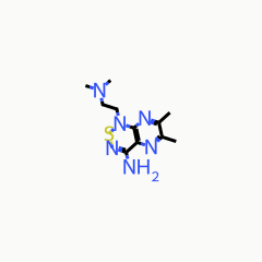 Cc1nc2c(nc1C)N(CCN(C)C)SN=C2N